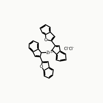 C1=C(c2cc3ccccc3o2)[CH]([Zr+2][CH]2C(c3cc4ccccc4o3)=Cc3ccccc32)c2ccccc21.[Cl-].[Cl-]